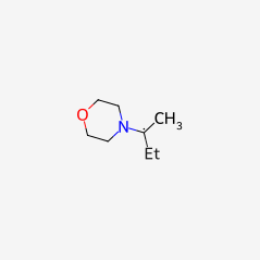 CC[C](C)N1CCOCC1